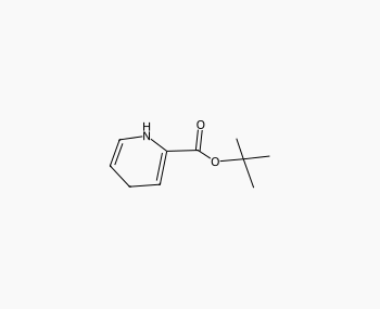 CC(C)(C)OC(=O)C1=CCC=CN1